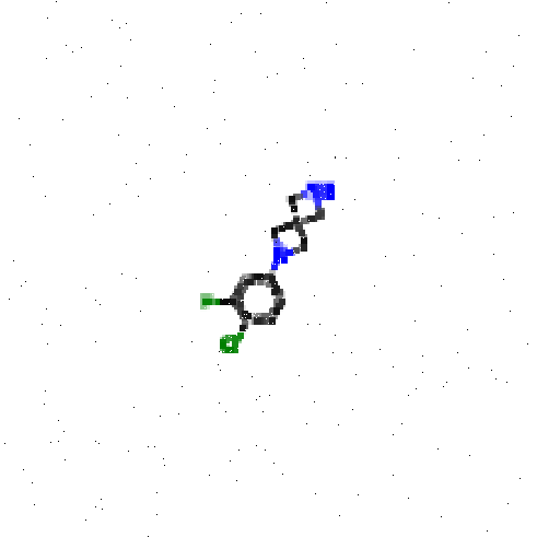 Fc1cc(N2CC3(CNC3)C2)ccc1Cl